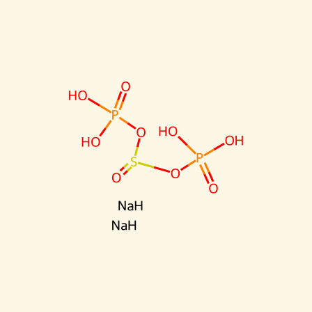 O=S(OP(=O)(O)O)OP(=O)(O)O.[NaH].[NaH]